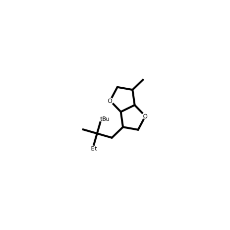 CCC(C)(CC1COC2C(C)COC12)C(C)(C)C